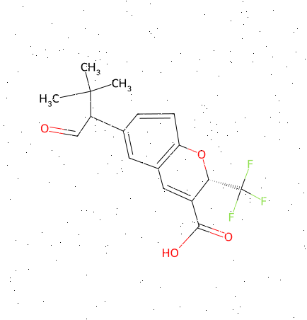 CC(C)(C)C(C=O)c1ccc2c(c1)C=C(C(=O)O)[C@@H](C(F)(F)F)O2